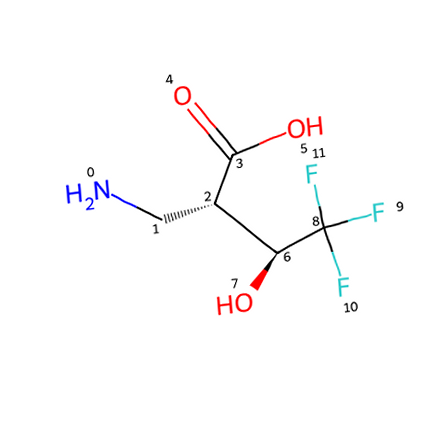 NC[C@H](C(=O)O)[C@H](O)C(F)(F)F